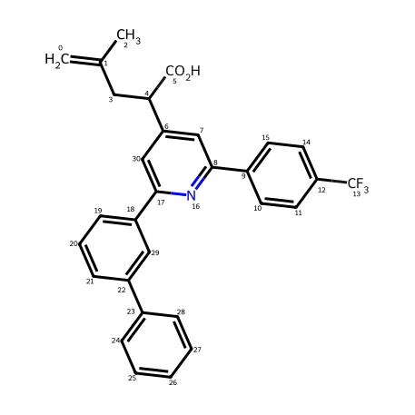 C=C(C)CC(C(=O)O)c1cc(-c2ccc(C(F)(F)F)cc2)nc(-c2cccc(-c3ccccc3)c2)c1